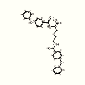 CC(=O)C(CCCCNC(=O)c1ccc(Oc2ccccc2)cc1)NC(=O)c1ccc(Oc2ccccc2)cc1